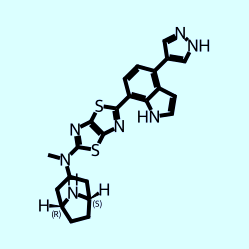 CN(c1nc2sc(-c3ccc(-c4cn[nH]c4)c4cc[nH]c34)nc2s1)C1C[C@H]2CC[C@@H](C1)N2